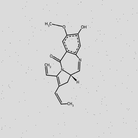 C=CC1=C(/C=C\C)C[C@H]2C=Nc3cc(O)c(OC)cc3C(=O)N12